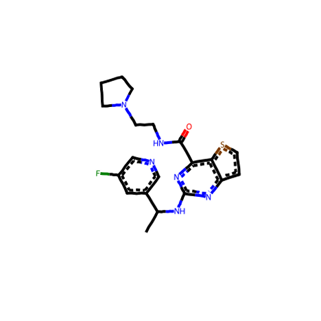 CC(Nc1nc(C(=O)NCCN2CCCC2)c2sccc2n1)c1cncc(F)c1